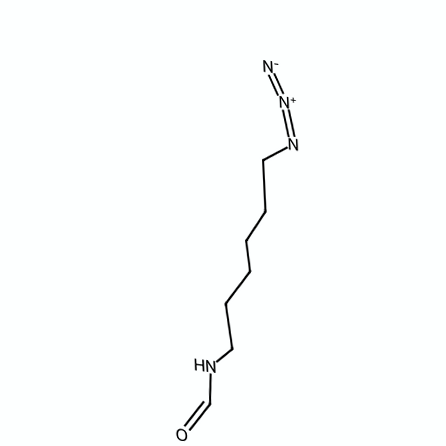 [N-]=[N+]=NCCCCCCNC=O